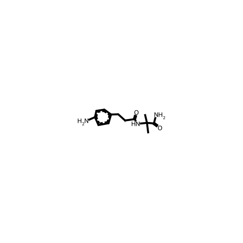 CC(C)(NC(=O)[CH]Cc1ccc(N)cc1)C(N)=O